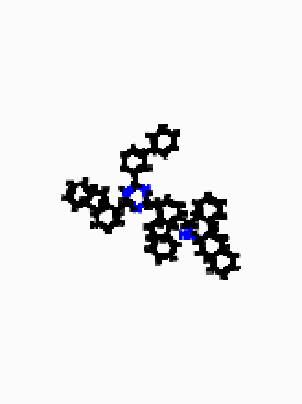 C1=CC(C2=CCCC(c3nc(C4=CCCC5=C4Cc4ccccc45)nc(-c4ccc([C@@H]5Nc6cc7ccccc7cc6-c6ccccc65)c5c4Cc4ccccc4-5)n3)=C2)=CCC1